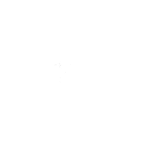 CCCCCc1ccc(C(=O)OCC)c(O)c1